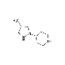 CC1CNN(C2CCNCC2)C1